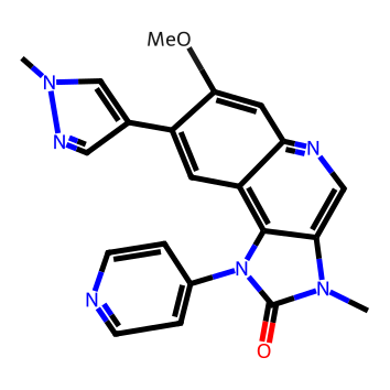 COc1cc2ncc3c(c2cc1-c1cnn(C)c1)n(-c1ccncc1)c(=O)n3C